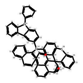 c1ccc(-n2c3ccccc3c3cc(N(c4ccc5c(c4)C4(c6ccccc6S5)c5ccccc5-c5cccc6cccc4c56)c4cccc5ccccc45)ccc32)cc1